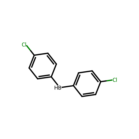 Clc1ccc(Bc2ccc(Cl)cc2)cc1